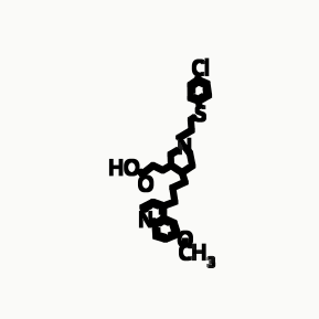 COc1ccc2nccc(CCCC3CCN(CCCSc4ccc(Cl)cc4)CC3CCC(=O)O)c2c1